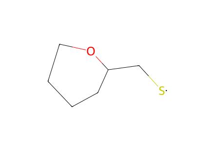 [S]CC1CCCCO1